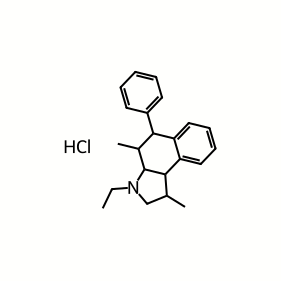 CCN1CC(C)C2c3ccccc3C(c3ccccc3)C(C)C21.Cl